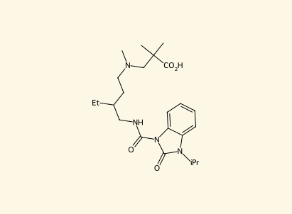 CCC(CCN(C)CC(C)(C)C(=O)O)CNC(=O)n1c(=O)n(C(C)C)c2ccccc21